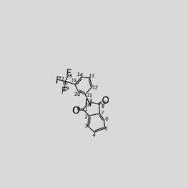 O=C1c2ccccc2C(=O)N1c1cccc(C(F)(F)F)c1